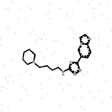 c1cn2cc(-c3nnc(NCCCCN4CCCCC4)o3)ccc2n1